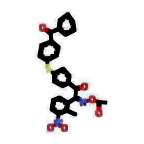 CC(=O)O/N=C(\C(=O)c1ccc(Sc2ccc(C(=O)c3ccccc3)cc2)cc1)c1cccc([N+](=O)[O-])c1C